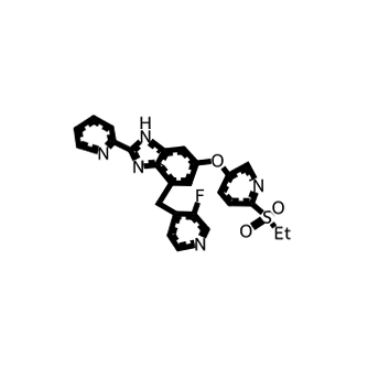 CCS(=O)(=O)c1ccc(Oc2cc(Cc3ccncc3F)c3nc(-c4ccccn4)[nH]c3c2)cn1